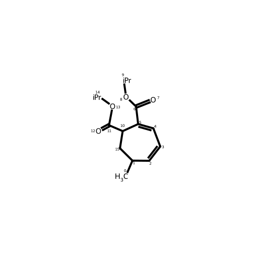 CC1C=CC=C(C(=O)OC(C)C)C(C(=O)OC(C)C)C1